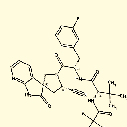 CC(C)(C)[C@H](NC(=O)C(F)(F)F)C(=O)N[C@@H](Cc1cccc(F)c1)C(=O)N1C[C@]2(C[C@H]1C#N)C(=O)Nc1ncccc12